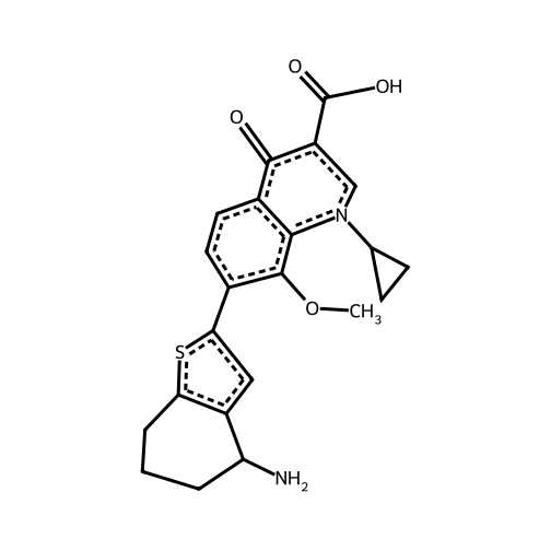 COc1c(-c2cc3c(s2)CCCC3N)ccc2c(=O)c(C(=O)O)cn(C3CC3)c12